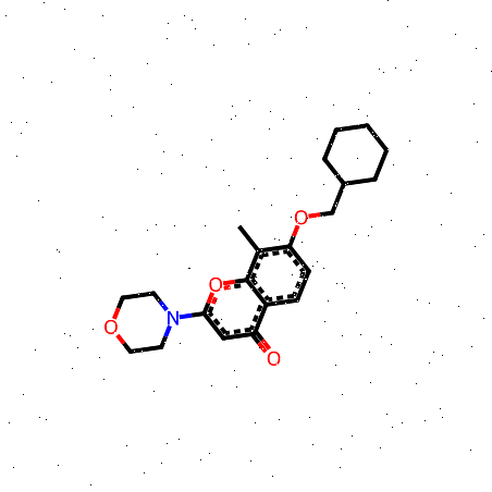 Cc1c(OCC2CCCCC2)ccc2c(=O)cc(N3CCOCC3)oc12